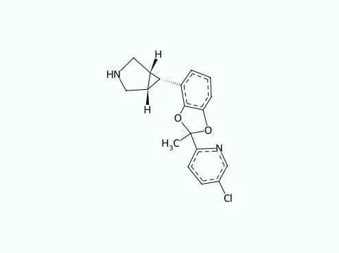 CC1(c2ccc(Cl)cn2)Oc2cccc([C@@H]3[C@@H]4CNC[C@@H]43)c2O1